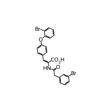 O=C(Cc1cccc(Br)c1)N/C(=C/c1ccc(Oc2ccccc2Br)cc1)C(=O)O